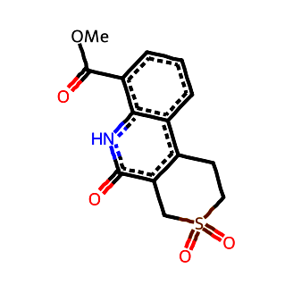 COC(=O)c1cccc2c3c(c(=O)[nH]c12)CS(=O)(=O)CC3